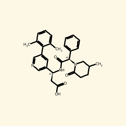 Cc1cccc(C)c1-c1cncc([C@H](CC(=O)O)NC(=O)[C@@H](c2ccccc2)N2CC(C)CCC2=O)c1